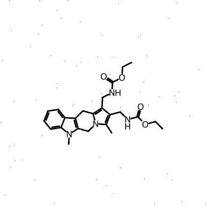 CCOC(=O)NCc1c(CNC(=O)OCC)c2n(c1C)Cc1c(c3ccccc3n1C)C2